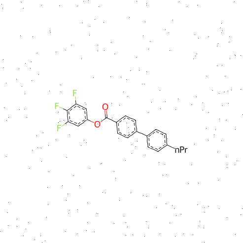 CCCc1ccc(-c2ccc(C(=O)Oc3cc(F)c(F)c(F)c3)cc2)cc1